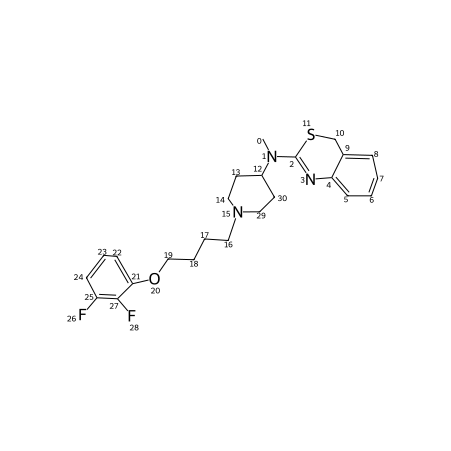 CN(C1=Nc2ccccc2CS1)C1CCN(CCCCOc2cccc(F)c2F)CC1